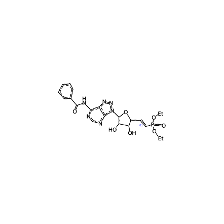 CCOP(=O)(/C=C/C1OC(n2nnc3c(NC(=O)c4ccccc4)ncnc32)C(O)C1O)OCC